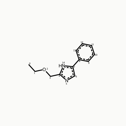 CCOCc1ncc(-c2ccccc2)[nH]1